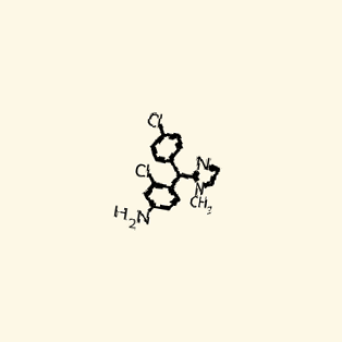 Cn1ccnc1C(c1ccc(Cl)cc1)c1ccc(N)cc1Cl